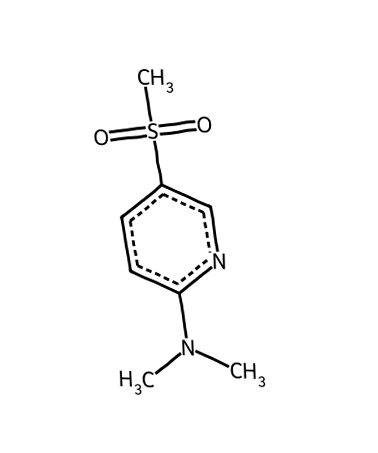 CN(C)c1ccc(S(C)(=O)=O)cn1